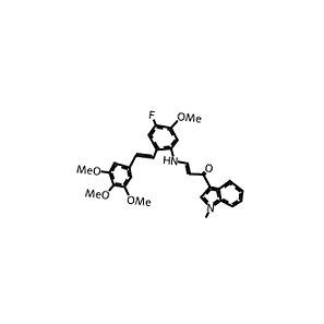 COc1cc(NC=CC(=O)c2cn(C)c3ccccc23)c(C=Cc2cc(OC)c(OC)c(OC)c2)cc1F